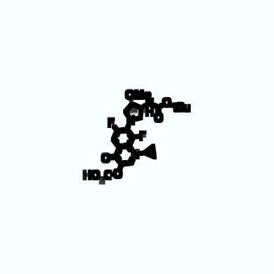 CO[C@H]1CN(c2c(F)cc3c(=O)c(OC(=O)O)cn(C4CC4)c3c2F)C[C@@H]1NC(=O)OC(C)(C)C